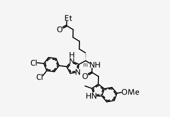 CCC(=O)CCCCC[C@H](NC(=O)Cc1c(C)[nH]c2ccc(OC)cc12)c1ncc(-c2ccc(Cl)c(Cl)c2)[nH]1